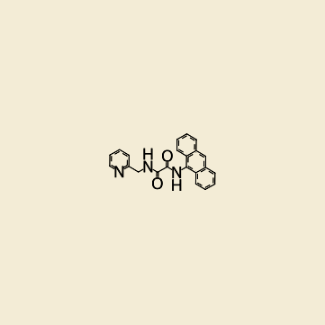 O=C(NCc1ccccn1)C(=O)Nc1c2ccccc2cc2ccccc12